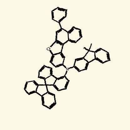 CC1(C)c2ccccc2-c2ccc(N(c3ccc4oc5cc(-c6ccccc6)c6ccccc6c5c4c3)c3cccc4c3-c3ccccc3C43c4ccccc4-c4ccccc43)cc21